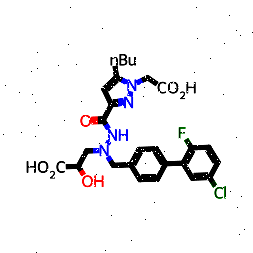 CCCCc1cc(C(=O)NN(Cc2ccc(-c3cc(Cl)ccc3F)cc2)CC(O)C(=O)O)nn1CC(=O)O